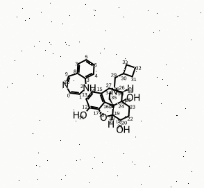 C1=CNc2ccccc2C=N1.Oc1ccc2c3c1O[C@H]1[C@@H](O)CC[C@@]4(O)[C@@H](C2)N(CC2CCC2)CC[C@]314